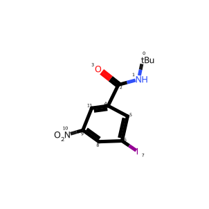 CC(C)(C)NC(=O)c1cc(I)cc([N+](=O)[O-])c1